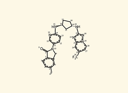 O=C1c2ccc(F)cc2CN1c1ccc(N[C@H]2CC[C@H](Nc3nc4cc(C(F)(F)F)ccn4n3)C2)nc1